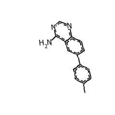 Cc1ccc(-c2ccc3ncnc(N)c3c2)cc1